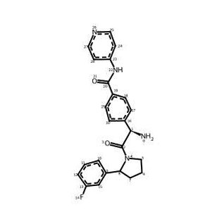 N[C@@H](C(=O)N1CCCC1c1cccc(F)c1)c1ccc(C(=O)Nc2ccncc2)cc1